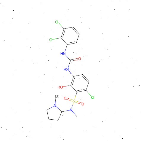 CCN1CCCC1N(C)S(=O)(=O)c1c(Cl)ccc(NC(=O)Nc2cccc(Cl)c2Cl)c1O